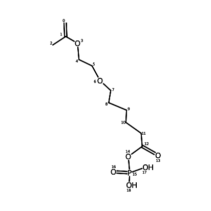 C=C(C)OCCOCCCCCC(=O)OP(=O)(O)O